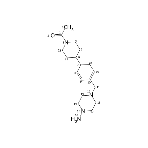 CC(=O)N1CCC(c2ccc(CN3CCN(N)CC3)cc2)CC1